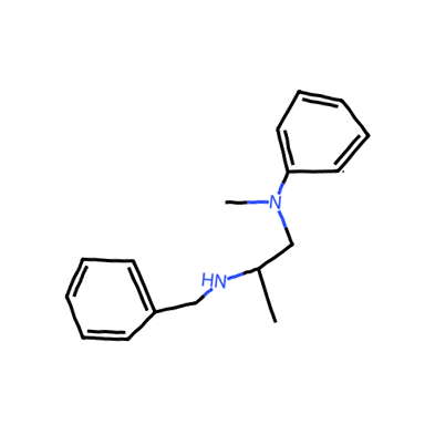 CC(CN(C)c1[c]cccc1)NCc1ccccc1